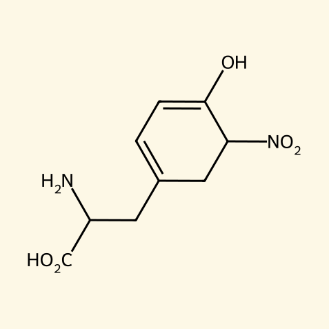 NC(CC1=CC=C(O)C([N+](=O)[O-])C1)C(=O)O